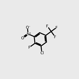 O=[N+]([O-])c1cc(C(F)(F)F)cc(Cl)c1F